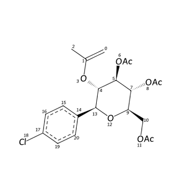 C=C(C)O[C@@H]1[C@@H](OC(C)=O)[C@H](OC(C)=O)[C@@H](COC(C)=O)O[C@H]1c1ccc(Cl)cc1